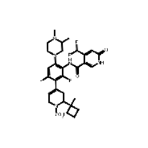 CC1CN(c2cc(F)c(C3=CCN(C(=O)O)C(C4(C)CCC4)C3)c(F)c2NC(=O)c2c[nH]c(=O)cc2C(F)F)CCN1C